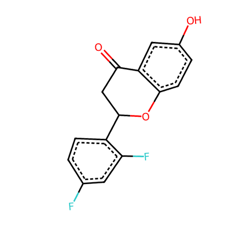 O=C1CC(c2ccc(F)cc2F)Oc2ccc(O)cc21